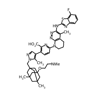 CNCCOC12CC3(C)CC(C)(CC(Cn4ncc(-c5ccc(N6CCCc7c6nnc(Nc6nc8cccc(F)c8s6)c7C)nc5C(=O)O)c4C)(C3)C1)C2